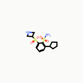 NS(=O)(=O)c1c(C2CCCC2)cccc1S(=O)(=O)C1CNC1